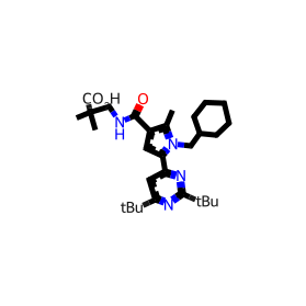 Cc1c(C(=O)NCC(C)(C)C(=O)O)cc(-c2cc(C(C)(C)C)nc(C(C)(C)C)n2)n1CC1CCCCC1